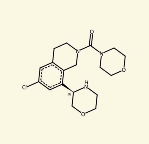 O=C(N1CCOCC1)N1CCc2cc(Cl)cc([C@@H]3COCCN3)c2C1